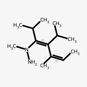 C/C=C(C)\C(=C(\C(C)C)N(C)N)C(C)C